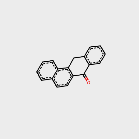 O=C1c2ccccc2Cc2c1ccc1ccccc21